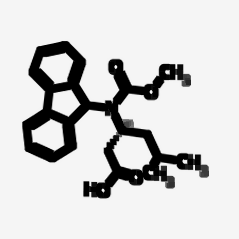 COC(=O)N(C1c2ccccc2-c2ccccc21)[C@@H](CC(=O)O)CC(C)C